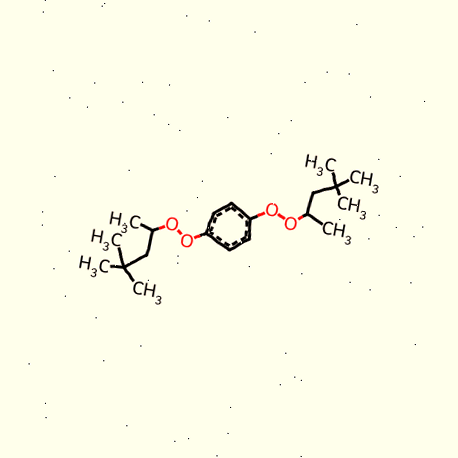 CC(CC(C)(C)C)OOc1ccc(OOC(C)CC(C)(C)C)cc1